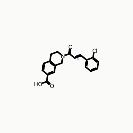 O=C(O)c1ccc2c(c1)CN(C(=O)/C=C/c1ccccc1Cl)CC2